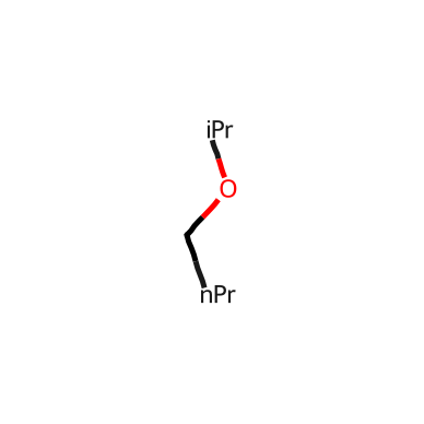 [CH2]C(C)OCCCC